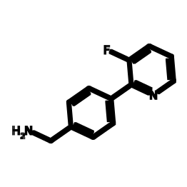 NCc1ccc(-c2ncccc2F)cc1